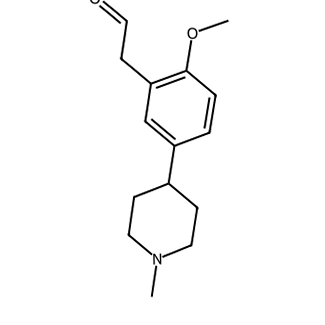 COc1ccc(C2CCN(C)CC2)cc1CC=O